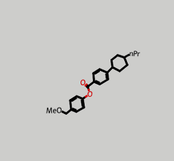 CCCC1CCC(c2ccc(C(=O)Oc3ccc(COC)cc3)cc2)CC1